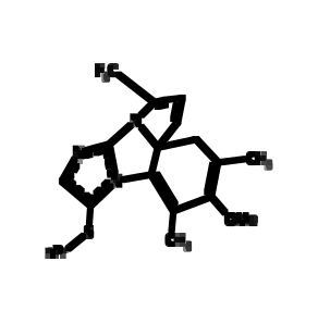 CCCSc1cnc2n1C1=C(C)C(OC)=C(C)CC13C=CC=C(C(F)(F)F)N23